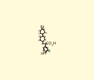 CCCc1ccc(C(CC2CCC(C3CCC(CC)CC3)CC2)C(=O)O)cc1F